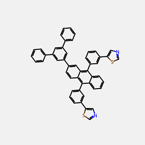 c1ccc(-c2cc(-c3ccccc3)cc(-c3ccc4c(-c5cccc(-c6cncs6)c5)c5ccccc5c(-c5cccc(-c6cncs6)c5)c4c3)c2)cc1